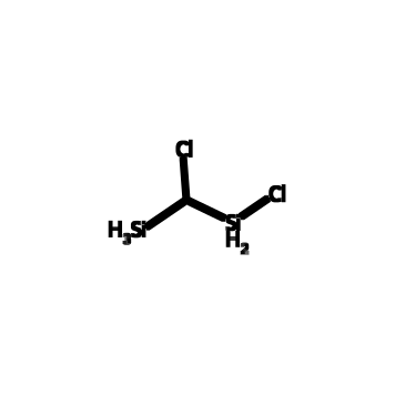 [SiH3]C(Cl)[SiH2]Cl